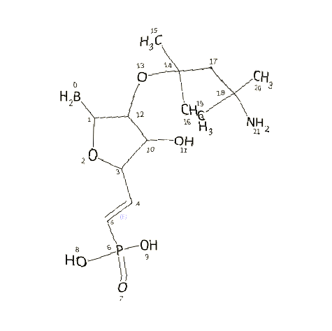 BC1OC(/C=C/P(=O)(O)O)C(O)C1OC(C)(C)CC(C)(C)N